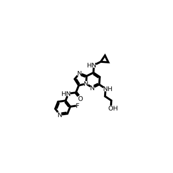 O=C(Nc1ccncc1F)c1cnc2c(NC3CC3)cc(NCCO)nn12